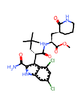 COC(=O)[C@H](C[C@@H]1CCCNC1=O)NC(=O)[C@@H](CC(C)(C)C)c1c(C(N)=O)[nH]c2cc(Cl)cc(Cl)c12